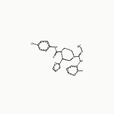 Cc1ccccc1N/C(=N/C#N)N1CCN(C(=O)Nc2ccc(Cl)cc2)C(c2ccco2)C1